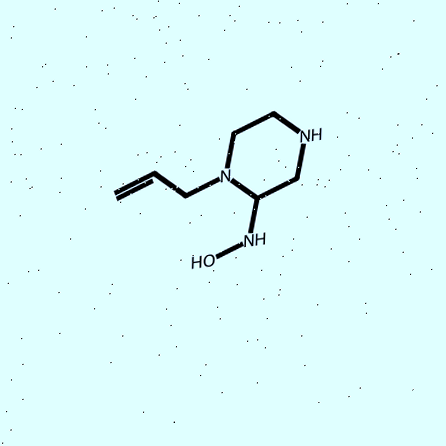 C=CCN1CCNCC1NO